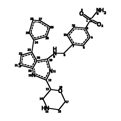 NS(=O)(=O)c1ccc(CNc2nc(C3CNCCO3)nc3scc(-c4ccccc4)c23)cc1